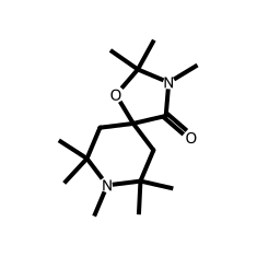 CN1C(C)(C)CC2(CC1(C)C)OC(C)(C)N(C)C2=O